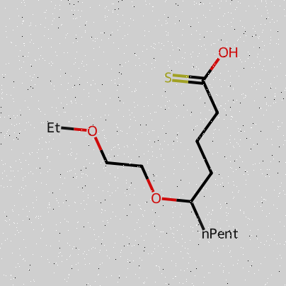 CCCCCC(CCCC(O)=S)OCCOCC